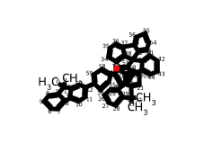 CC1(C)c2ccccc2-c2ccc(-c3ccc(N(c4cccc5c4-c4ccccc4C5(C)C)c4cccc5c4C4(c6ccccc6-c6ccccc64)c4ccccc4-5)cc3)cc21